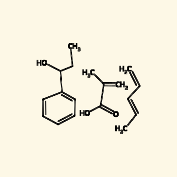 C=C(C)C(=O)O.C=CC=CC.CCC(O)c1ccccc1